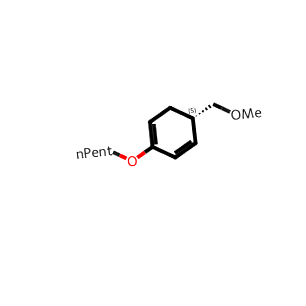 CCCCCOC1=CC[C@H](COC)C=C1